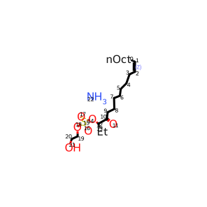 CCCCCCCC/C=C\CCCCCCCC(=O)C(CC)OS(=O)(=O)OCCO.N